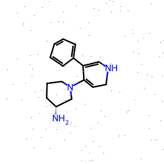 N[C@@H]1CCCN(C2=CCNC=C2c2ccccc2)C1